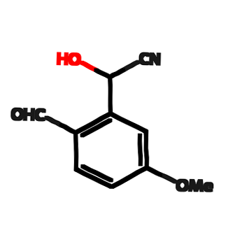 COc1ccc(C=O)c(C(O)C#N)c1